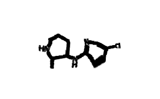 CC1NCCCC1Nc1ccc(Cl)cn1